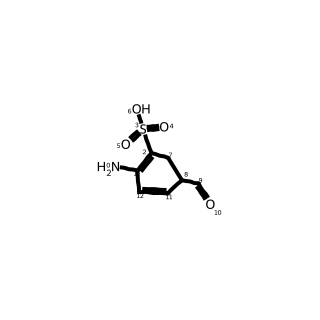 NC1=C(S(=O)(=O)O)CC(C=O)C=C1